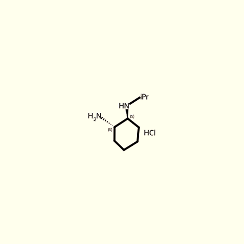 CC(C)N[C@H]1CCCC[C@@H]1N.Cl